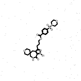 CCn1nc(CCCOC(=O)c2ccc(S(=O)(=O)N3CCOCC3)cc2)c2c1C(=O)NCC1(CCOCC1)C2